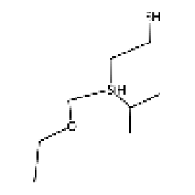 CCOC[SiH](CCS)C(C)C